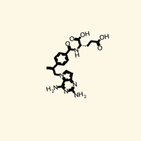 C=C(Cn1ccc2nc(N)nc(N)c21)c1ccc(C(=O)N[C@@H](CCC(=O)O)C(=O)O)cc1